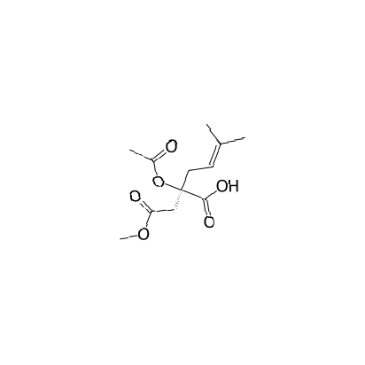 COC(=O)C[C@@](CC=C(C)C)(OC(C)=O)C(=O)O